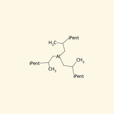 CCCC(C)C(C)[CH2][Al]([CH2]C(C)C(C)CCC)[CH2]C(C)C(C)CCC